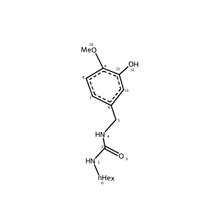 CCCCCCNC(=O)NCc1ccc(OC)c(O)c1